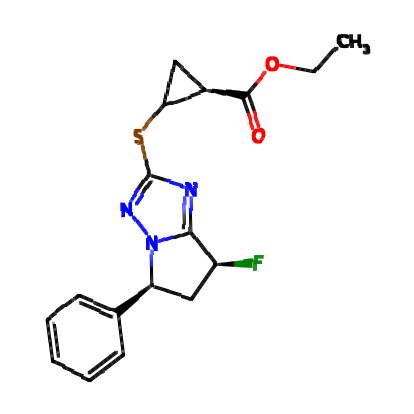 CCOC(=O)[C@@H]1CC1Sc1nc2n(n1)[C@H](c1ccccc1)C[C@@H]2F